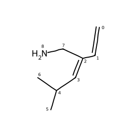 C=CC(=CC(C)C)CN